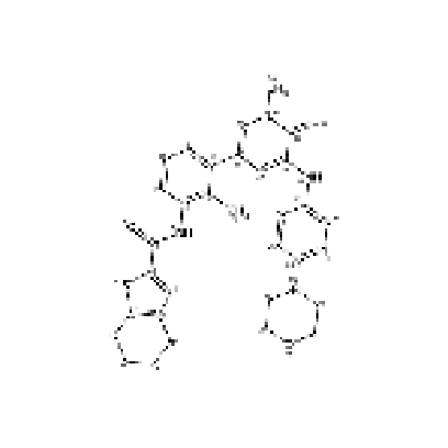 Cc1c(NC(=O)c2cc3c(s2)CCCC3)cccc1-c1cc(Nc2ccc(N3CCOCC3)nn2)c(=O)n(C)c1